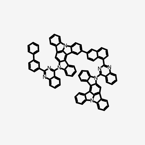 c1ccc(-c2cccc(-c3nc(-n4c5ccccc5c5c6c7cc(-c8ccc9c(-c%10nc(-n%11c%12ccccc%12c%12c%13c%14ccccc%14n%14c%15ccccc%15c(cc%12%11)c%13%14)c%11ccccc%11n%10)cccc9c8)ccc7n7c8ccccc8c(cc54)c67)c4ccccc4n3)c2)cc1